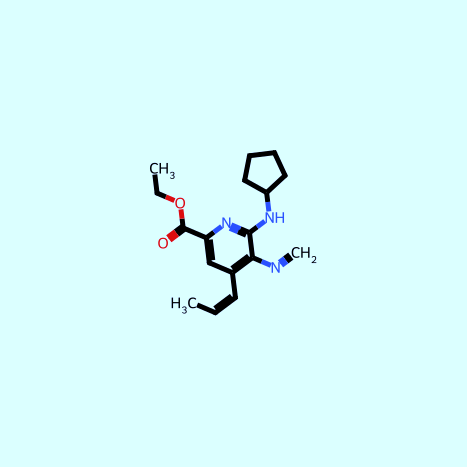 C=Nc1c(/C=C\C)cc(C(=O)OCC)nc1NC1CCCC1